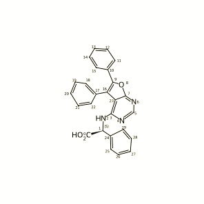 O=C(O)[C@@H](Nc1ncnc2oc(-c3ccccc3)c(-c3ccccc3)c12)c1ccccc1